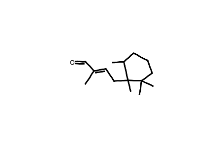 C/C(C=O)=C\CC1(C)C(C)CCCC1(C)C